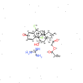 CCCCC(=O)OCC(=O)[C@H]1[C@H](C)C[C@H]2[C@@H]3C[C@H](F)C4=CC(=O)C=C[C@]4(C)[C@@]3(F)[C@@H](O)C[C@@]21C.N=C(N)N